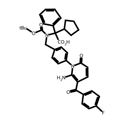 CC(C)(C)OC(=O)N(Cc1ccc(-n2c(N)c(C(=O)c3ccc(F)cc3)ccc2=O)cc1)C(C(=O)O)(c1ccccc1)C1CCCC1